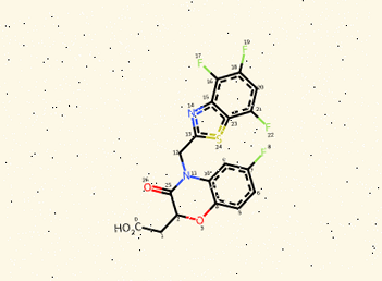 O=C(O)CC1Oc2ccc(F)cc2N(Cc2nc3c(F)c(F)cc(F)c3s2)C1=O